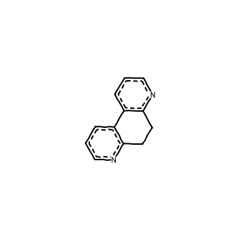 c1cnc2c(c1)-c1cccnc1CC2